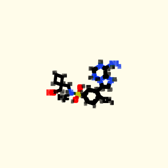 Cc1ccc(S(=O)(=O)N(C)CC2(CO)CCC2)cc1-c1cnc2c(N)ncnn12